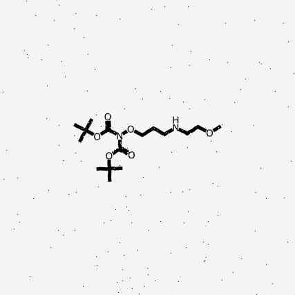 COCCNCCCON(C(=O)OC(C)(C)C)C(=O)OC(C)(C)C